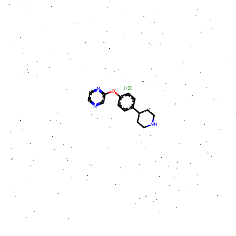 Cl.c1cnc(Oc2ccc(C3CCNCC3)cc2)cn1